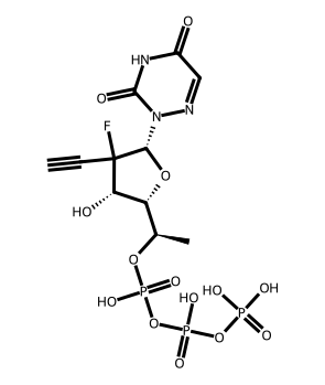 C#CC1(F)[C@@H](O)[C@@H]([C@@H](C)OP(=O)(O)OP(=O)(O)OP(=O)(O)O)O[C@H]1n1ncc(=O)[nH]c1=O